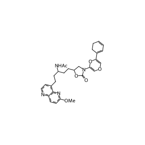 COc1ccc2nccc(CCC(CCC3CN(C4=COC=C(C5=CC=CCC5)O4)C(=O)O3)NC(C)=O)c2n1